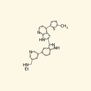 CCNCc1cncc(-c2ccc3[nH]nc(-c4cc5c(-c6ccc(C)s6)ccnc5[nH]4)c3c2)c1